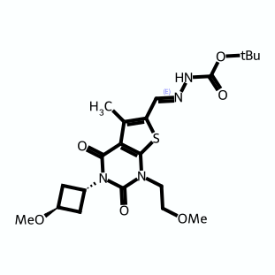 COCCn1c(=O)n([C@H]2C[C@H](OC)C2)c(=O)c2c(C)c(/C=N/NC(=O)OC(C)(C)C)sc21